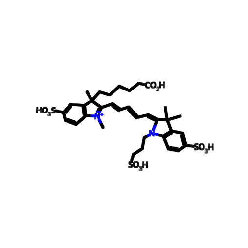 C[N+]1=C(/C=C/C=C/C=C2\N(CCCS(=O)(=O)O)c3ccc(S(=O)(=O)O)cc3C2(C)C)C(C)(CCCCCC(=O)O)c2cc(S(=O)(=O)O)ccc21